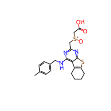 Cc1ccc(CNc2nc(C[S+]([O-])CC(=O)O)nc3sc4c(c23)CCCC4)cc1